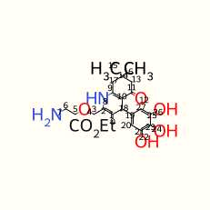 CCOC(=O)C1=C(COCCN)NC2=C(C(=O)CC(C)(C)C2)C1c1cc(O)c(O)c(O)c1